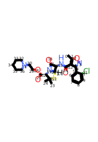 Cc1onc(-c2ccccc2Cl)c1C(=O)N[C@@H]1C(=O)N2[C@@H]1SC(C)(C)[C@@H]2C(=O)OCCN1CCCCC1